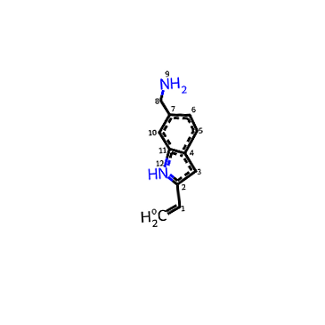 C=Cc1cc2ccc(CN)cc2[nH]1